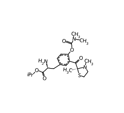 CC(C)OC(=O)[C@@H](N)Cc1ccc(OC(=O)N(C)C)c(C(=O)[C@]2(C)SCCN2C)c1